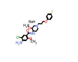 COc1cc(N)c(Cl)cc1C(=O)NC1CCN(CCCOc2ccc(F)cc2)CC1OC.[NaH]